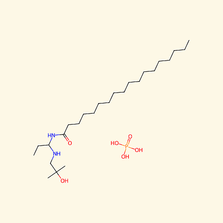 CCCCCCCCCCCCCCCCCC(=O)NC(CC)NCC(C)(C)O.O=P(O)(O)O